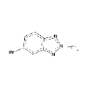 CC(C)c1ccc2nn(C)nc2c1